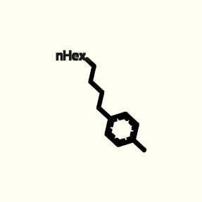 [CH2]CCCCCCCCCc1ccc(C)cc1